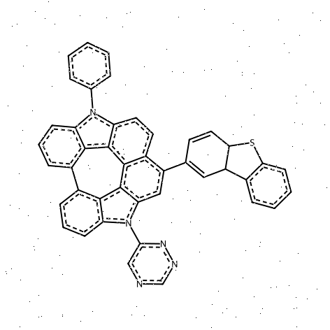 C1=CC2Sc3ccccc3C2C=C1c1cc2c3c4c(cccc4n2-c2cncnn2)-c2cccc4c2c2c3c1ccc2n4-c1ccccc1